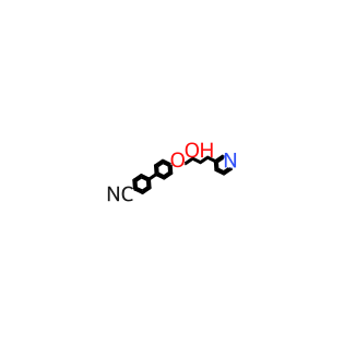 N#Cc1ccc(-c2ccc(OC[C@H](O)CCc3cccnc3)cc2)cc1